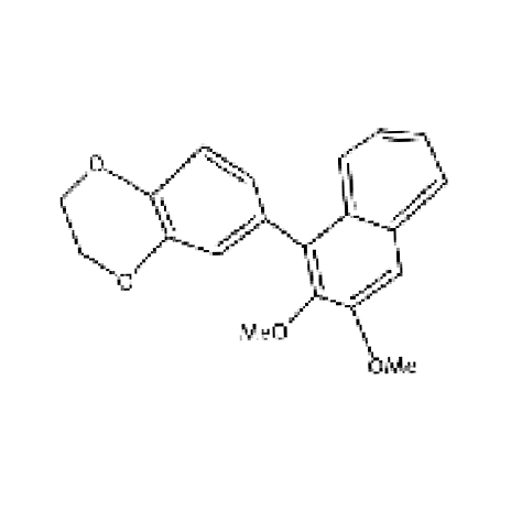 COc1cc2ccccc2c(-c2ccc3c(c2)OCCO3)c1OC